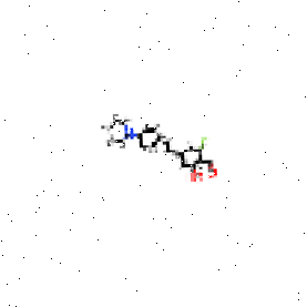 O=Cc1c(O)cc(C=Cc2ccc(N3CCCCC3)cc2)cc1F